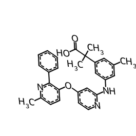 Cc1cc(Nc2cc(Oc3ccc(C)nc3-c3ccccc3)ccn2)cc(C(C)(C)C(=O)O)c1